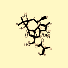 C#CC1C[C@@H]2[C@H]([C@@H]3C=C(CO)[C@@H](OC(=O)/C(C)=C\C)[C@]4(O)[C@@H](O)C(C)=C[C@@]14C3=O)C2(C)C